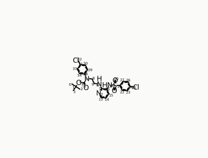 CC(C)(C)OC(=O)N(CCNc1ncccc1NS(=O)(=O)c1ccc(Cl)cc1)c1ccc(Cl)cc1